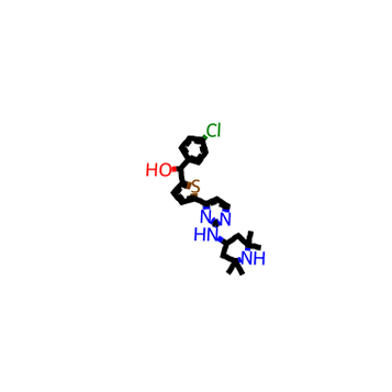 CC1(C)CC(Nc2nccc(-c3ccc(C(O)c4ccc(Cl)cc4)s3)n2)CC(C)(C)N1